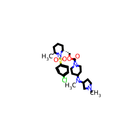 C[C@@H]1CCC[C@H](COC(=O)N2CCC(N(C)C3CCN(C)C3)CC2)N1S(=O)(=O)c1ccc(Cl)cc1